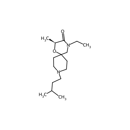 CCN1CC2(CCN(CCC(C)C)CC2)O[C@@H](C)C1=O